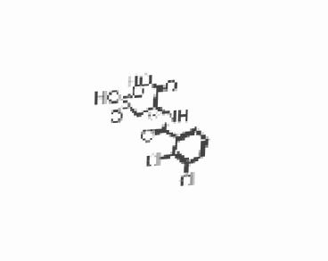 O=C(N[C@@H](CS(=O)(=O)O)C(=O)O)c1cccc(Cl)c1Cl